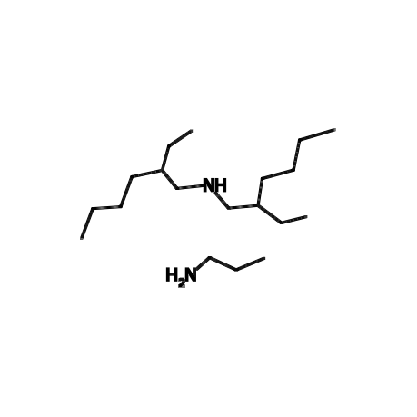 CCCCC(CC)CNCC(CC)CCCC.CCCN